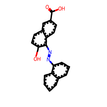 O=C(O)c1ccc2c(N=Nc3cccc4ccccc34)c(O)ccc2c1